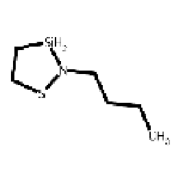 CCCCN1[SiH2]CCS1